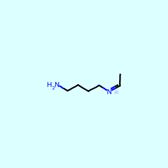 C/C=N\CCCCN